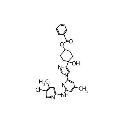 Cc1cc(Nc2cc(C)c(Cl)cn2)nc(-n2cnc(C3(O)CCC(OC(=O)c4ccccc4)CC3)c2)c1